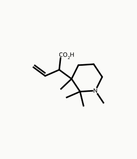 C=CC(C(=O)O)C1(C)CCCN(C)C1(C)C